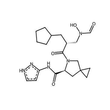 O=CN(O)C[C@@H](CC1CCCC1)C(=O)N1CC2(CC2)C[C@H]1C(=O)Nc1cc[nH]n1